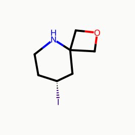 I[C@@H]1CCNC2(COC2)C1